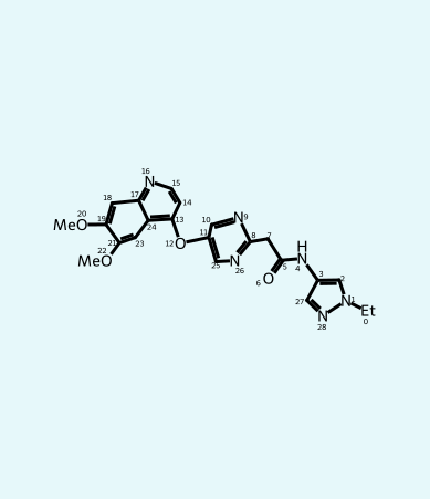 CCn1cc(NC(=O)Cc2ncc(Oc3ccnc4cc(OC)c(OC)cc34)cn2)cn1